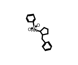 O=S(=O)(NC1CCCC1Cc1ccccc1)c1ccccc1